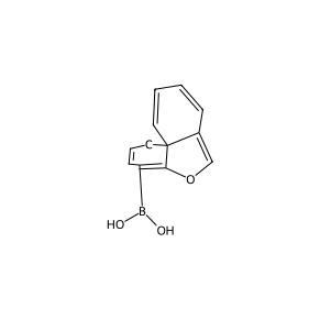 OB(O)C1=C2OC=C3C=CC=CC32CC=C1